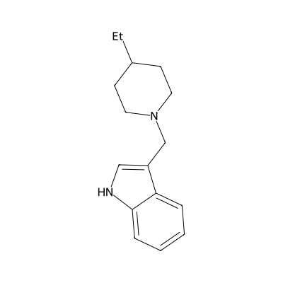 CCC1CCN(Cc2c[nH]c3ccccc23)CC1